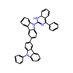 C1=CC2=C(c3ccccc3)N=C(n3c4ccccc4c4cc(-c5ccc6c(c5)c5ccccc5n6-c5ccccc5)ccc43)NC2C=C1